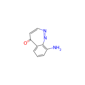 Nc1cccc2c(=O)ccnnc12